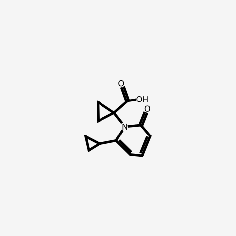 O=C(O)C1(n2c(C3CC3)cccc2=O)CC1